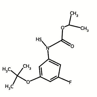 CC(C)OC(=O)N(S)c1cc(F)cc(OC(C)(C)C)c1